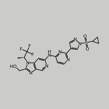 C[C@H](n1c(CO)nc2cnc(Nc3ccnc(-c4cnn(S(=O)(=O)C5CC5)c4)n3)cc21)C(F)(F)F